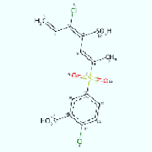 C=C/C(Cl)=C(\C=C(/C)S(=O)(=O)c1ccc(Cl)c(S(=O)(=O)O)c1)S(=O)(=O)O